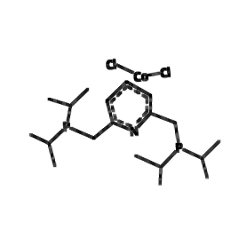 CC(C)P(Cc1cccc(CP(C(C)C)C(C)C)n1)C(C)C.[Cl][Co][Cl]